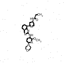 C=CC(=O)Nc1ccnc(-c2cccc3cnc(Nc4ccc(N5CCOCC5)nc4OC)nc23)c1